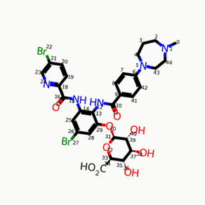 CN1CCCN(c2ccc(C(=O)Nc3c(NC(=O)c4ccc(Br)cn4)cc(Br)cc3O[C@@H]3O[C@H](C(=O)O)[C@@H](O)[C@H](O)[C@H]3O)cc2)CC1